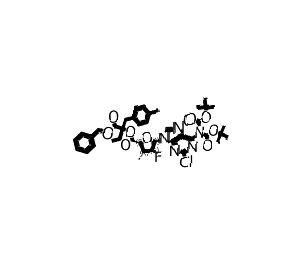 CC(=O)C(Cc1ccc(C)cc1)(OC[C@H]1O[C@@H](n2cnc3c(N(C(=O)OC(C)(C)C)C(=O)OC(C)(C)C)nc(Cl)nc32)[C@@H](F)[C@@H]1C)C(=O)OCc1ccccc1